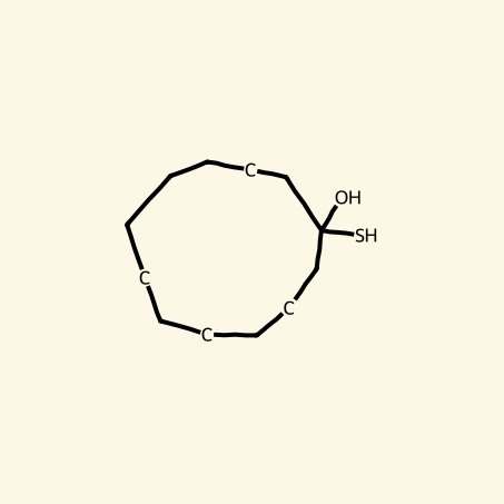 OC1(S)CCCCCCCCCCC1